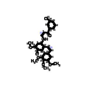 COc1cc(N/C=C\C(=O)c2cccc(Cl)c2)c(/C=C\c2cc(OC)c(OC)c(OC)c2)cc1Cl